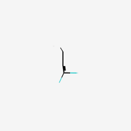 CCCCC=C(F)F